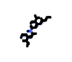 C=CC/C(C)=C/C(=C/C(=C)N(C)C(=C)/C=C(\C=C/C)C(C)CC)C(=C\C)/C(=C)C